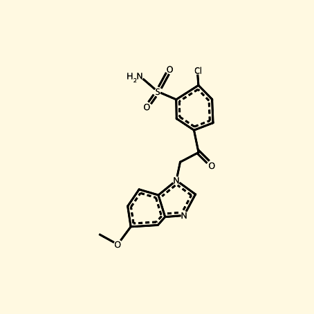 COc1ccc2c(c1)ncn2CC(=O)c1ccc(Cl)c(S(N)(=O)=O)c1